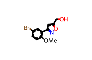 COc1ccc(Br)cc1-c1cc(CO)on1